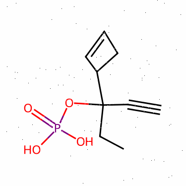 C#CC(CC)(OP(=O)(O)O)C1C=CC1